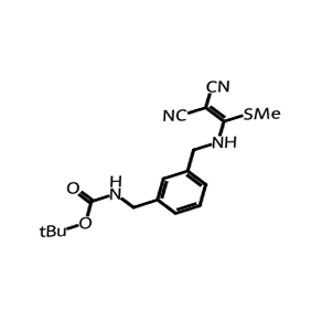 CSC(NCc1cccc(CNC(=O)OC(C)(C)C)c1)=C(C#N)C#N